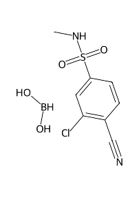 CNS(=O)(=O)c1ccc(C#N)c(Cl)c1.OBO